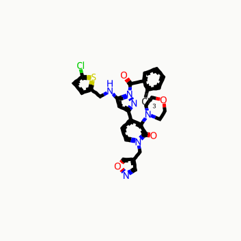 O=C(c1ccccc1C(F)(F)F)n1nc(-c2ccn(Cc3cnoc3)c(=O)c2N2CCOCC2)cc1NCc1ccc(Cl)s1